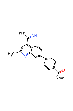 CCCC(=N)c1cc(C)nc2cc(-c3ccc(C(=O)NC)cc3)ccc12